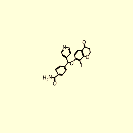 NC(=O)c1ccc(C(Oc2ccc3c(c2I)OCCC3=O)c2ccncc2)cc1